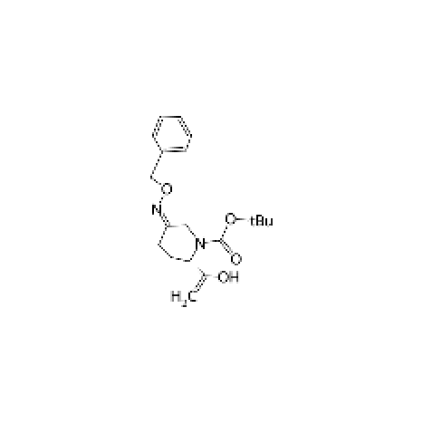 C=C(O)[C@@H]1CCC(=NOCc2ccccc2)CN1C(=O)OC(C)(C)C